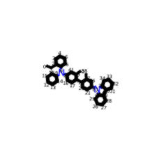 CCc1ccccc1N(c1ccccc1)c1ccc(-c2ccc(-n3c4ccccc4c4ccccc43)cc2C)c(C)c1